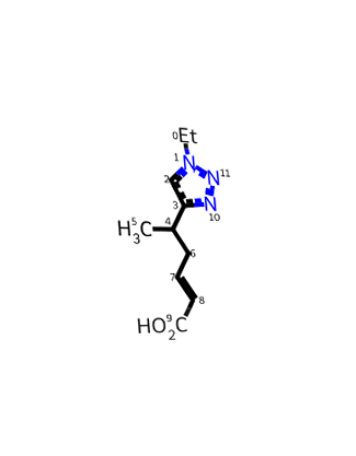 CCn1cc(C(C)CC=CC(=O)O)nn1